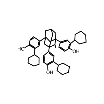 CC1C2(c3ccc(O)c(C4CCCCC4)c3)CC3CC(c4ccc(O)c(C5CCCCC5)c4)(C2)CC1(c1ccc(O)c(C2CCCCC2)c1)C3